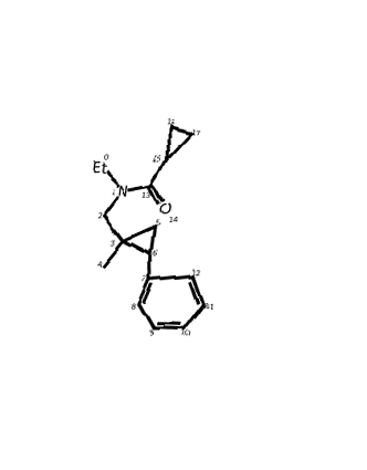 CCN(CC1(C)CC1c1ccccc1)C(=O)C1CC1